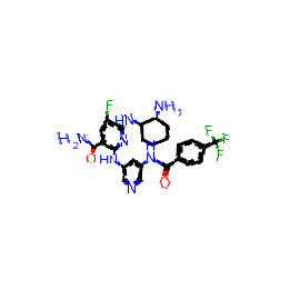 NC(=O)c1cc(F)c(NC2CCCC[C@@H]2N)nc1Nc1cncc(NC(=O)c2ccc(C(F)(F)F)cc2)c1